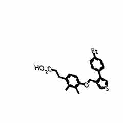 CCc1ccc(-c2cscc2COc2ccc(CCC(=O)O)c(C)c2C)cc1